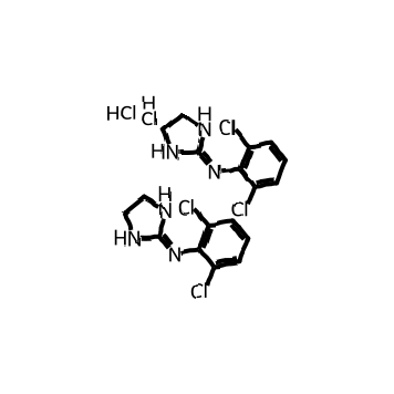 Cl.Cl.Clc1cccc(Cl)c1N=C1NCCN1.Clc1cccc(Cl)c1N=C1NCCN1